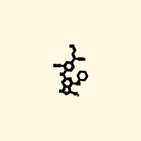 CN/C(=C\C=N)c1ccc(Nc2nc(NC3CCCCC3)c3c(C(F)(F)F)c[nH]c3n2)c(OC)c1